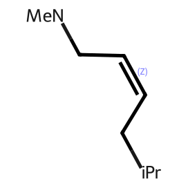 CNC/C=C\CC(C)C